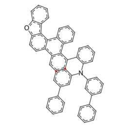 c1ccc(-c2cccc(N(c3cccc(-c4ccccc4)c3)c3ccccc3-c3cccc4c5ccc6oc7ccccc7c6c5c5ccccc5c34)c2)cc1